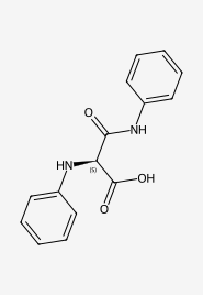 O=C(O)[C@@H](Nc1ccccc1)C(=O)Nc1ccccc1